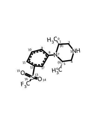 C[C@@H]1CNC[C@H](C)N1c1cccc(S(=O)(=O)C(F)(F)F)c1